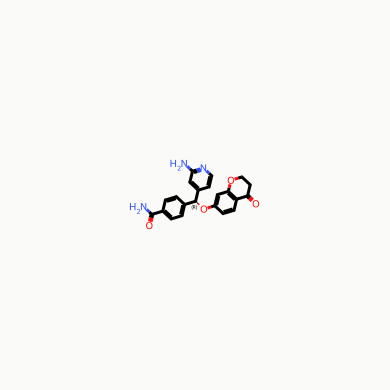 NC(=O)c1ccc([C@@H](Oc2ccc3c(c2)OCCC3=O)c2ccnc(N)c2)cc1